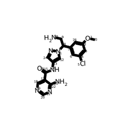 COc1cc(Cl)cc(C(CN)n2cc(NC(=O)c3cncnc3N)cn2)c1